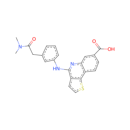 CN(C)C(=O)Cc1cccc(Nc2nc3cc(C(=O)O)ccc3c3sccc23)c1